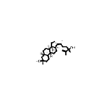 C=C(C)C(C)(O)CC[C@@H](C)[C@H]1CC[C@H]2[C@@H]3CC[C@H]4C[C@@](C)(O)CC[C@]4(C)[C@H]3CC[C@]12C